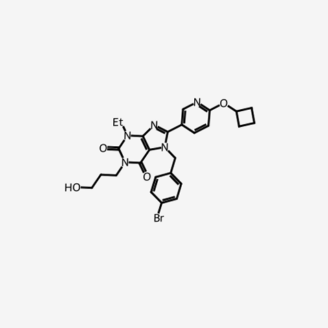 CCn1c(=O)n(CCCO)c(=O)c2c1nc(-c1ccc(OC3CCC3)nc1)n2Cc1ccc(Br)cc1